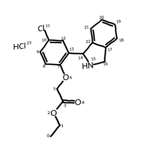 CCOC(=O)COc1ccc(Cl)cc1C1NCc2ccccc21.Cl